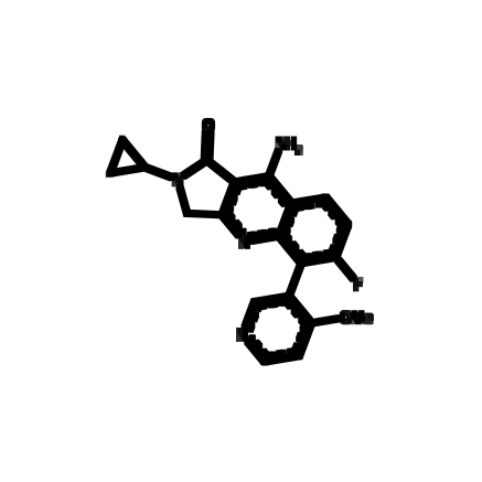 COc1ccncc1-c1c(F)ccc2c(N)c3c(nc12)CN(C1CC1)C3=O